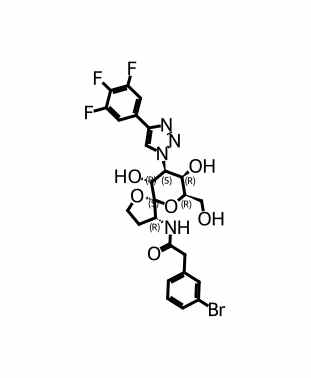 O=C(Cc1cccc(Br)c1)N[C@@H]1CCO[C@]12O[C@H](CO)[C@H](O)[C@H](n1cc(-c3cc(F)c(F)c(F)c3)nn1)[C@H]2O